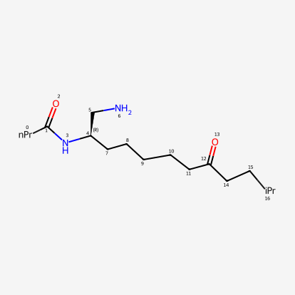 CCCC(=O)N[C@@H](CN)CCCCCC(=O)CCC(C)C